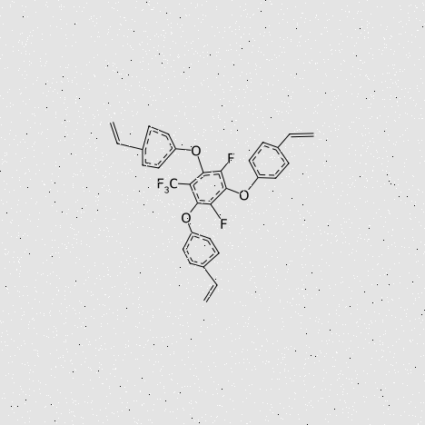 C=Cc1ccc(Oc2c(F)c(Oc3ccc(C=C)cc3)c(C(F)(F)F)c(Oc3ccc(C=C)cc3)c2F)cc1